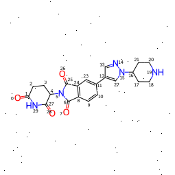 O=C1CCC(N2C(=O)c3ccc(-c4cnn(C5CCNCC5)c4)cc3C2=O)C(=O)N1